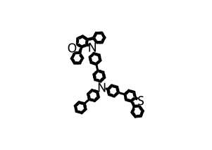 c1ccc(-c2ccc(N(c3ccc(-c4ccc(-n5c6ccccc6c6ccc7oc8ccccc8c7c65)cc4)cc3)c3ccc(-c4ccc5sc6ccccc6c5c4)cc3)cc2)cc1